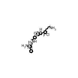 C[C@H](N)CCCc1cc(Cl)c(F)c(-c2cc3cn(-c4ccc([C@H](C)NCC[C@@H](CCc5ccccc5)NC(=N)N)cc4)c(=O)nc3[nH]2)c1